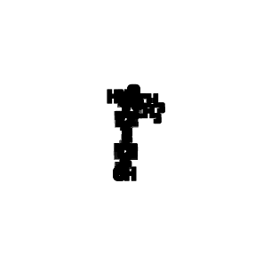 CC(C)N1C(=O)NCC1c1ccc(C#Cc2ccc(CCO)cc2)cc1